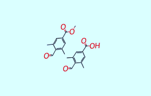 COC(=O)c1cc(C)c(C=O)c(C)c1.Cc1cc(C(=O)O)cc(C)c1C=O